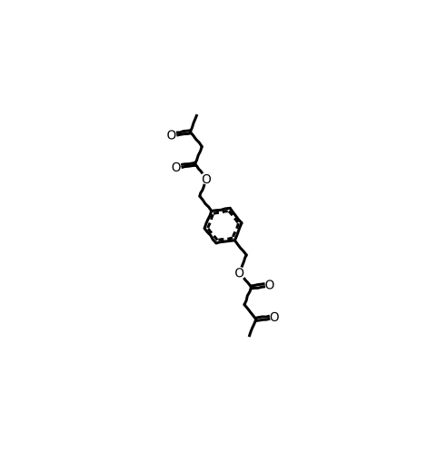 CC(=O)CC(=O)OCc1ccc(COC(=O)CC(C)=O)cc1